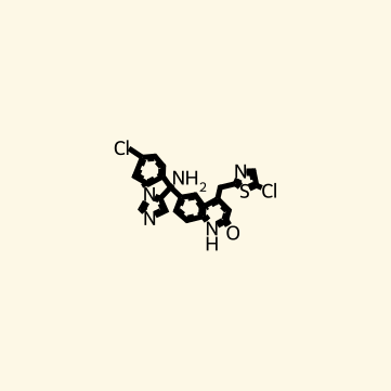 Cn1cncc1C(N)(c1ccc(Cl)cc1)c1ccc2[nH]c(=O)cc(Cc3ncc(Cl)s3)c2c1